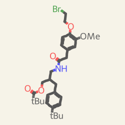 COc1cc(CC(=O)NCC(COC(=O)C(C)(C)C)Cc2ccc(C(C)(C)C)cc2)ccc1OCCBr